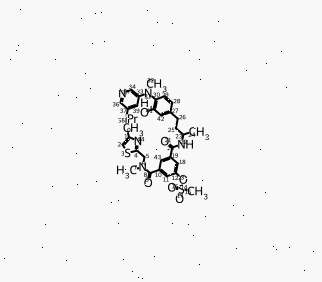 Cc1csc(CN(C)C(=O)c2cc(OS(C)(=O)=O)cc(C(=O)NC(C)CCc3ccc(N(C)c4cncc(C(C)C)c4)c(O)c3)c2)n1